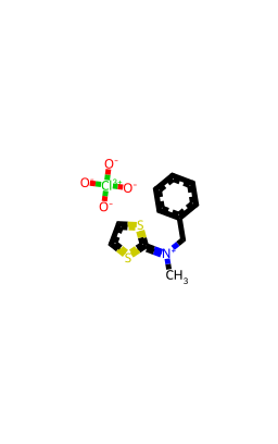 C[N+](Cc1ccccc1)=c1sccs1.[O-][Cl+3]([O-])([O-])[O-]